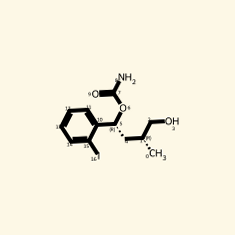 C[C@@H](CO)C[C@@H](OC(N)=O)c1ccccc1I